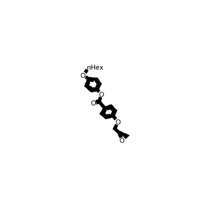 CCCCCCOc1ccc(OC(=O)c2ccc(OCC3CO3)cc2)cc1